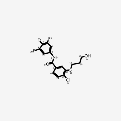 O=C(Nc1cc(F)c(F)c(F)c1)c1ccc(Cl)c(SCCCO)c1